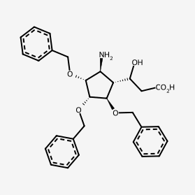 N[C@@H]1[C@@H](OCc2ccccc2)[C@@H](OCc2ccccc2)[C@H](OCc2ccccc2)[C@H]1C(O)CC(=O)O